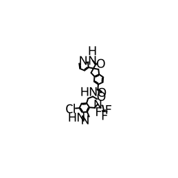 O=C(N[C@@H]1Cc2cc(Cl)c3[nH]ncc3c2CN(CC(F)(F)F)C1=O)c1ccc2c(c1)CC1(C2)C(=O)Nc2ncccc21